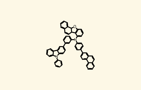 C1=CC2c3c(cccc3N(c3ccc(-c4ccc5c(ccc6ccccc65)c4)cc3)c3cccc(-c4ccc5c(c4)c4ccccc4n5-c4ccccc4)c3)OC2c2ccccc21